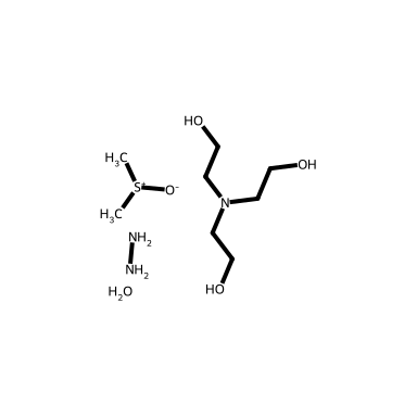 C[S+](C)[O-].NN.O.OCCN(CCO)CCO